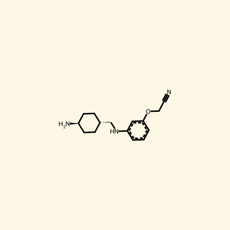 N#CCOc1cccc(NC[C@H]2CC[C@H](N)CC2)c1